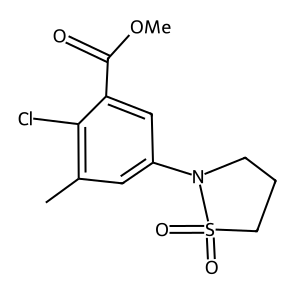 COC(=O)c1cc(N2CCCS2(=O)=O)cc(C)c1Cl